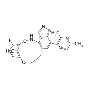 Cc1cnc(-c2cc3c(n4cnnc24)NCc2c(F)ccc(c2C)OCCC3)c(C)n1